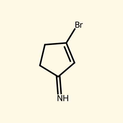 N=C1C=C(Br)CC1